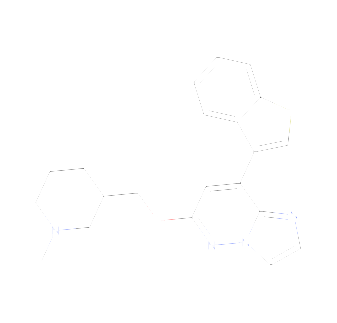 CN1CCCC(COc2cc(-c3csc4ccccc34)c3nccn3n2)C1